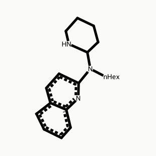 CCCCCCN(c1ccc2ccccc2n1)C1CCCCN1